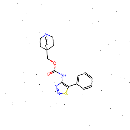 O=C(Nc1nnsc1-c1ccccc1)OCC12CCN(CC1)CC2